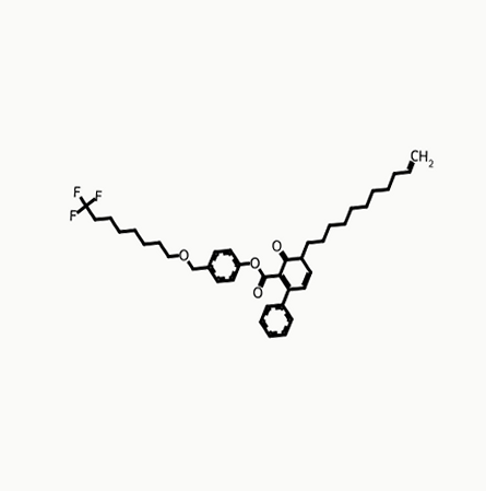 C=CCCCCCCCCCC1C=CC(c2ccccc2)=C(C(=O)Oc2ccc(COCCCCCCCC(F)(F)F)cc2)C1=O